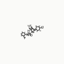 O=C(NNc1ccccc1F)c1nn(-c2ccc(Cl)cc2)c2c1C1CCC2C1